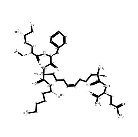 CC(C)C[C@@H](C=O)NN[C@@H](CC(C)C)C(=O)N[C@@H](Cc1ccccc1)C(=O)N[C@@](C)(CCC/C=C\CCC[C@](C)(N)C(=O)N[C@@H](CCC(N)=O)C(N)=O)C(=O)N[C@H](C=O)CCCCN